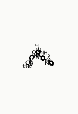 CC(C)(C)OC(=O)N1CCCC(n2nc(-c3ccc(-c4nc5ccccc5o4)cc3)c3c(N)n[nH]c(=O)c32)C1